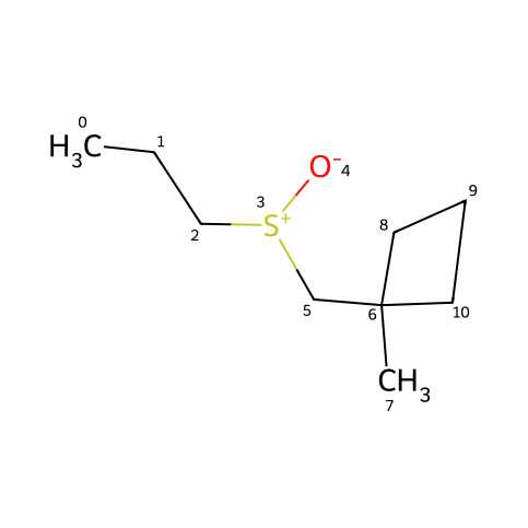 CCC[S+]([O-])CC1(C)CCC1